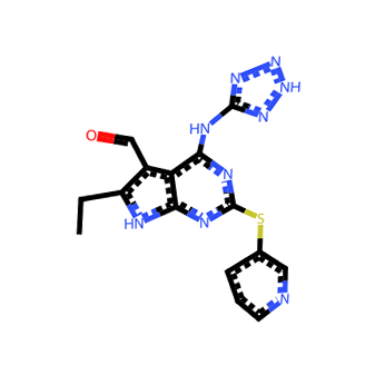 CCc1[nH]c2nc(Sc3cccnc3)nc(Nc3nn[nH]n3)c2c1C=O